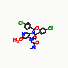 CN(C)C(=O)CNc1ccncc1N(C(=O)c1ccc(Cl)cc1)C(=O)c1ccc(Cl)cc1.O